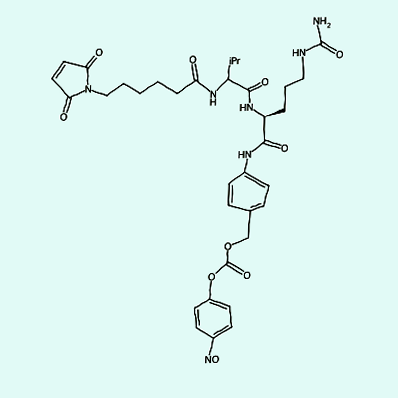 CC(C)C(NC(=O)CCCCCN1C(=O)C=CC1=O)C(=O)N[C@@H](CCCNC(N)=O)C(=O)Nc1ccc(COC(=O)Oc2ccc(N=O)cc2)cc1